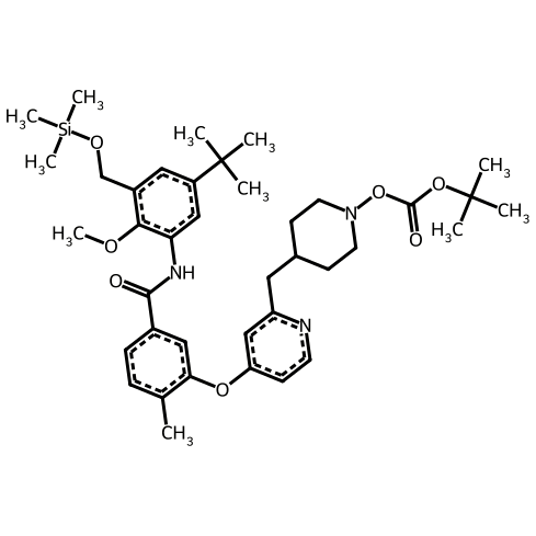 COc1c(CO[Si](C)(C)C)cc(C(C)(C)C)cc1NC(=O)c1ccc(C)c(Oc2ccnc(CC3CCN(OC(=O)OC(C)(C)C)CC3)c2)c1